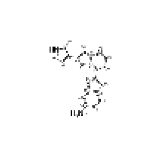 CC1NCC=C1c1cc2c(-c3nc4cc(N)ccc4s3)ccnc2s1